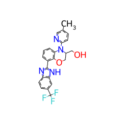 Cc1ccc(N2c3cccc(-c4nc5ccc(C(F)(F)F)cc5[nH]4)c3OCC2CO)nc1